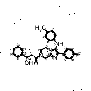 Cc1ccc(Nc2c(-c3ccc(F)cc3)nc3n2CCN(C(=O)C[C@H](O)c2ccccc2)C3)cc1